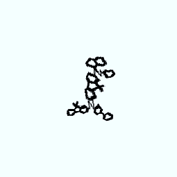 CC1(C)c2ccccc2-c2ccc(N(c3ccc(-c4ccccc4)cc3)c3ccc4c(c3)C(C)(C)c3cc(N(c5ccccc5)c5cccc6ccccc56)ccc3-4)cc21